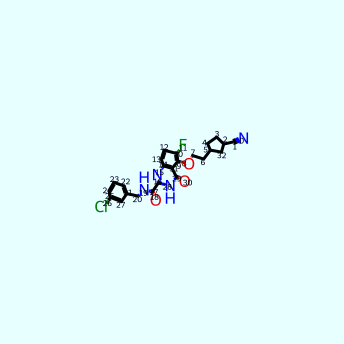 N#CC1CCC(CCOc2c(F)ccc3nc(C(=O)NCc4cccc(Cl)c4)[nH]c(=O)c23)C1